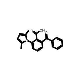 Cc1ccc(C)n1-c1cccc(C(=O)c2ccccc2)c1C(=O)O